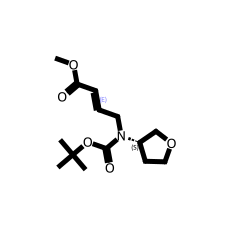 COC(=O)/C=C/CN(C(=O)OC(C)(C)C)[C@H]1CCOC1